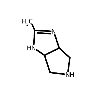 CC1=NC2CNCC2N1